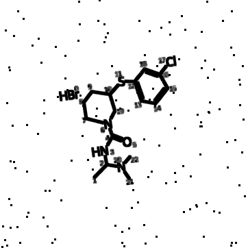 Br.CC(NC(=O)N1CCCC(Sc2cccc(Cl)c2)C1)N(C)C